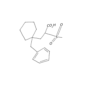 CS(=O)(=O)C(CC1(Cc2ccccc2)CCCCC1)C(=O)O